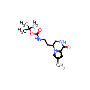 Cc1cc2n(c1)C(CCNC(=O)OC(C)(C)C)CNC2=O